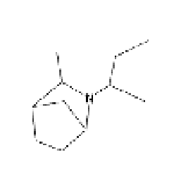 CCC(C)N1C2CCC(C2)C1C